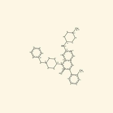 Cc1ccccc1-c1cc2cnc(NC3CCN(C)CC3)nc2n(C2CCN(Cc3ccccc3)CC2)c1=O